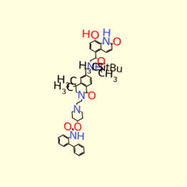 CC1(C)CN(CCN2CCC(OC(=O)Nc3ccccc3-c3ccccc3)CC2)C(=O)c2ccc(CNCC(O[Si](C)(C)C(C)(C)C)c3ccc(O)c4[nH]c(=O)ccc34)cc21